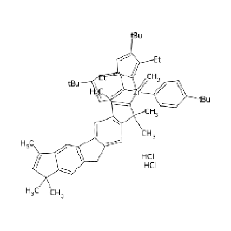 Cl.Cl.[CH2]=[Zr]([C]1=C(CC)C(C(C)(C)C)=CC1CC)([C]1=C(C)c2cc3c(cc2C1(C)C)Cc1cc2c(cc1-3)C(C)=CC2(C)C)([c]1ccc(C(C)(C)C)cc1)[c]1ccc(C(C)(C)C)cc1